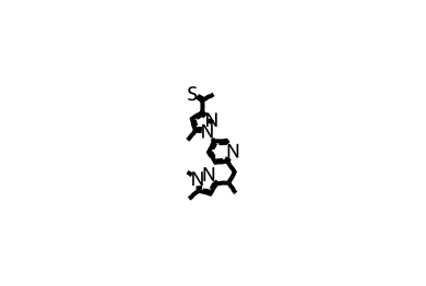 CC(=S)c1cc(C)n(-c2ccc(CC(C)c3cc(C)n(C)n3)nc2)n1